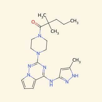 CCCC(C)(C)C(=O)N1CCN(c2nc(Nc3cc(C)[nH]n3)c3cccn3n2)CC1